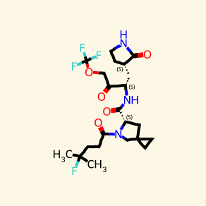 CC(C)(F)CCC(=O)N1CC2(CC2)C[C@H]1C(=O)N[C@@H](C[C@@H]1CCNC1=O)C(=O)COC(F)(F)F